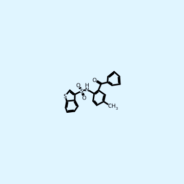 Cc1ccc(NS(=O)(=O)c2csc3ccccc23)c(C(=O)c2ccccc2)c1